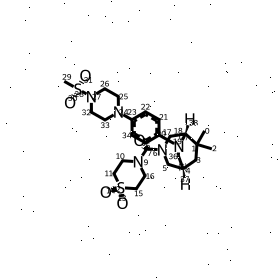 CC1(C)C[C@@H]2CN(C(=O)N3CCS(=O)(=O)CC3)C[C@H]1N(c1ccc(N3CCN(S(C)(=O)=O)CC3)cc1)C2